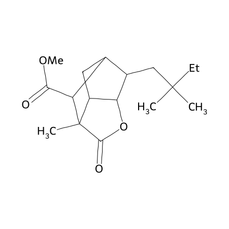 CCC(C)(C)CC1C2CC3C1OC(=O)C3(C)C2C(=O)OC